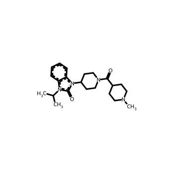 CC(C)n1c(=O)n(C2CCN(C(=O)C3CCN(C)CC3)CC2)c2ccccc21